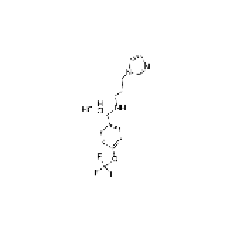 Cl.Cl.FC(F)(F)Oc1ccc(CNCCCn2ccnc2)cc1